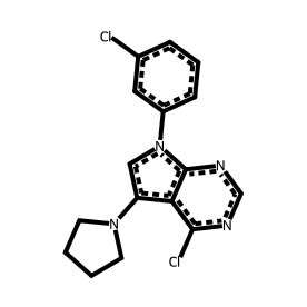 Clc1cccc(-n2cc(N3CCCC3)c3c(Cl)ncnc32)c1